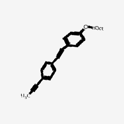 CC#Cc1ccc(C#Cc2ccc(OCCCCCCCC)cc2)cc1